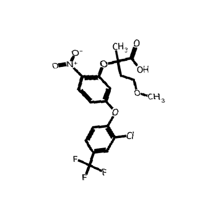 COCCC(C)(Oc1cc(Oc2ccc(C(F)(F)F)cc2Cl)ccc1[N+](=O)[O-])C(=O)O